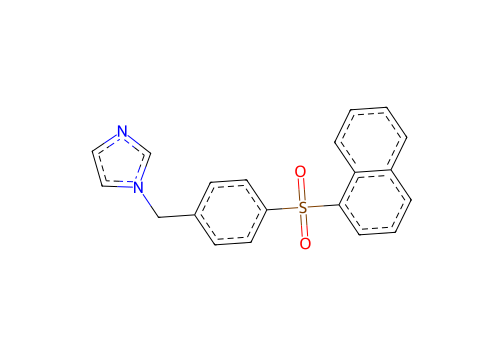 O=S(=O)(c1ccc(Cn2ccnc2)cc1)c1cccc2ccccc12